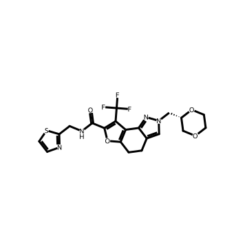 O=C(NCc1nccs1)c1oc2c(c1C(F)(F)F)-c1nn(C[C@H]3COCCO3)cc1CC2